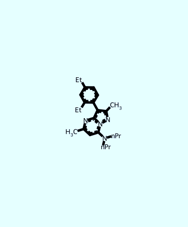 CCCN(CCC)c1cc(C)nc2c(-c3ccc(CC)cc3CC)c(C)nn12